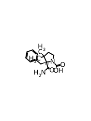 CC1(C)CCN(C(=O)O)[C@]1(Cc1ccccc1)C(N)=O